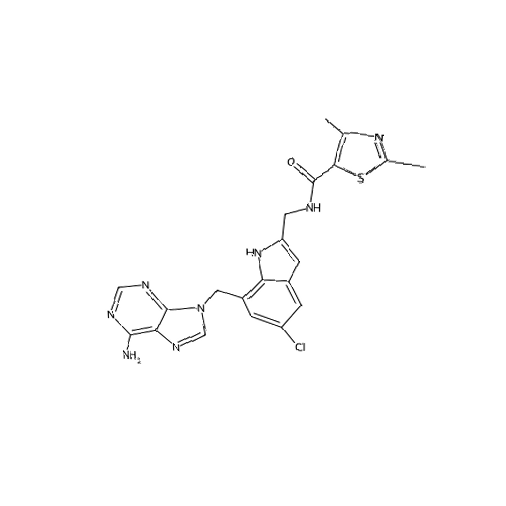 Cc1nc(C)c(C(=O)NCc2cc3cc(Cl)cc(Cn4cnc5c(N)ncnc54)c3[nH]2)s1